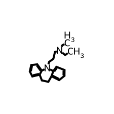 CCN(CC)CCCN1c2ccccc2CCc2ccccc21